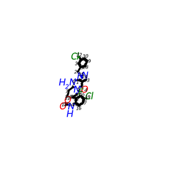 Nc1c(C(=O)N2CCC[C@@]3(C2)OC(=O)Nc2ccc(Cl)c(F)c23)cnn1Cc1cccc(Cl)c1